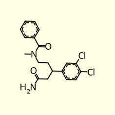 CN(CCC(CC(N)=O)c1ccc(Cl)c(Cl)c1)C(=O)c1ccccc1